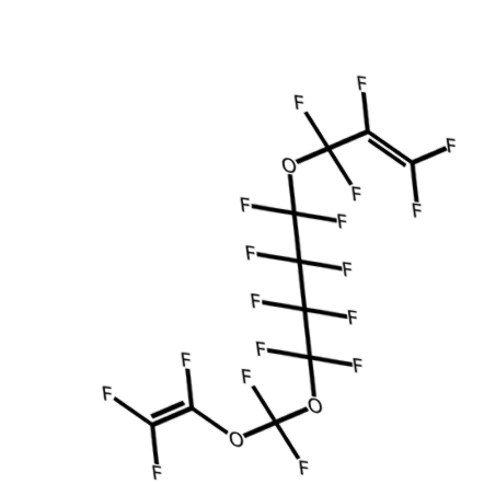 FC(F)=C(F)OC(F)(F)OC(F)(F)C(F)(F)C(F)(F)C(F)(F)OC(F)(F)C(F)=C(F)F